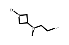 CCN1CC(N(C)CCC(C)C)C1